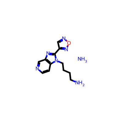 N.NCCCCn1c(-c2cnon2)nc2cnccc21